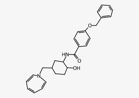 O=C(NC1CC(CN2C=CC=CC=C2)CCC1O)c1ccc(OCc2ccccc2)cc1